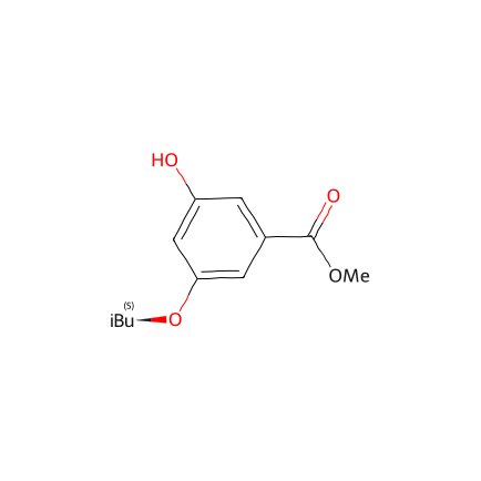 CC[C@H](C)Oc1cc(O)cc(C(=O)OC)c1